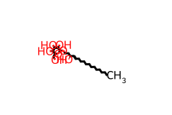 CCCCCCCCCCCCC/C=C/[C@@H](O)CCOC1OC(CO)C(O)C(O)C1O